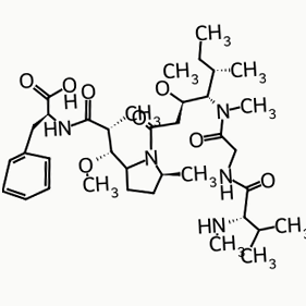 CC[C@H](C)[C@@H]([C@@H](CC(=O)N1C([C@H](OC)[C@@H](C)C(=O)N[C@@H](Cc2ccccc2)C(=O)O)CC[C@@H]1C)OC)N(C)C(=O)CNC(=O)[C@@H](NC)C(C)C